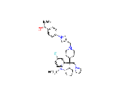 CNC(=O)c1ccc(N2CC(CN3CCC([C@@](CN4CCC4)(c4cccc(F)c4)[C@H]4CCC[C@@H]4NC(=O)O)CC3)C2)cc1